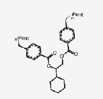 CCC[C@@H](C)Cc1ccc(C(=O)OCC(OC(=O)c2ccc(C[C@H](C)CCC)cc2)C2CCCCC2)cc1